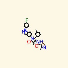 Cc1cccc(C2[C@@H](NC(=O)c3scnc3C)[C@@H](C)C(=O)N2c2ccc3c(cnn3-c3ccc(F)cc3)c2)c1